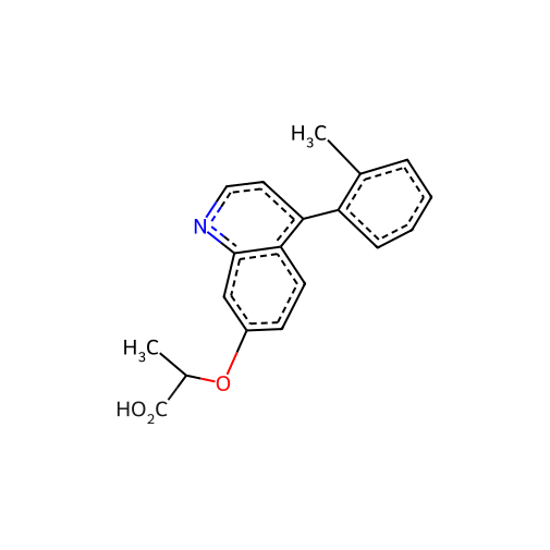 Cc1ccccc1-c1ccnc2cc(OC(C)C(=O)O)ccc12